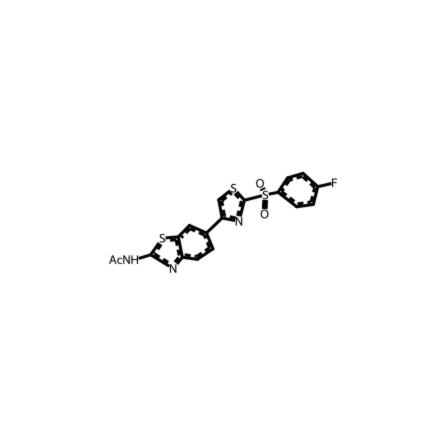 CC(=O)Nc1nc2ccc(-c3csc(S(=O)(=O)c4ccc(F)cc4)n3)cc2s1